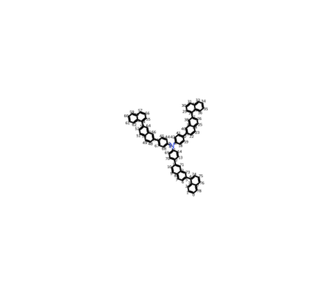 c1ccc2c(-c3ccc4ccc(-c5ccc(N(c6ccc(-c7ccc8ccc(-c9cccc%10ccccc9%10)cc8c7)cc6)c6ccc(-c7ccc8ccc(-c9cccc%10ccccc9%10)cc8c7)cc6)cc5)cc4c3)cccc2c1